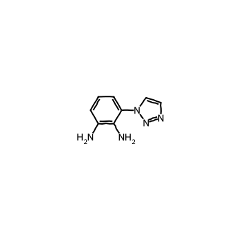 Nc1cccc(-n2ccnn2)c1N